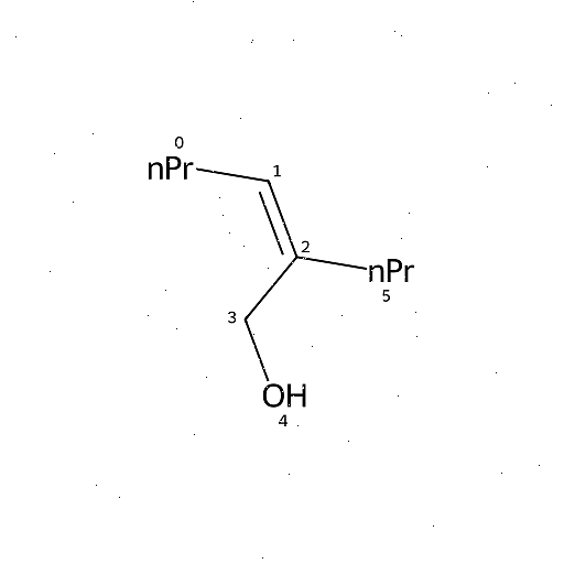 CCCC=C(CO)CCC